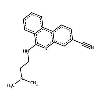 CN(C)CCNc1nc2cc(C#N)ccc2c2ccccc12